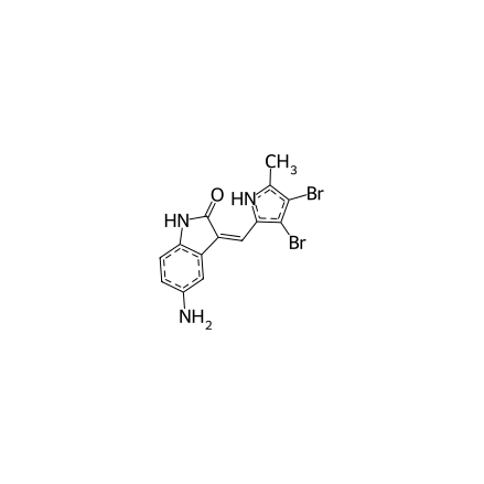 Cc1[nH]c(/C=C2\C(=O)Nc3ccc(N)cc32)c(Br)c1Br